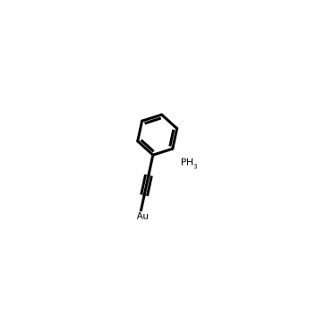 P.[Au][C]#Cc1ccccc1